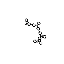 C1=Cc2c(c3cc(N(c4ccccc4)c4ccc(-c5ccc(N(c6ccccc6)c6ccc(-c7ccc8oc9ccccc9c8c7)cc6)cc5)cc4)ccc3n2-c2ccccc2)CC1